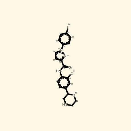 O=C(Nc1ccc(C2CNCCO2)cc1Cl)c1ccn(-c2ccc(F)cc2)n1